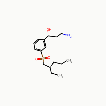 CCC[C@@H](CC)CS(=O)(=O)c1cccc([C@H](O)CCN)c1